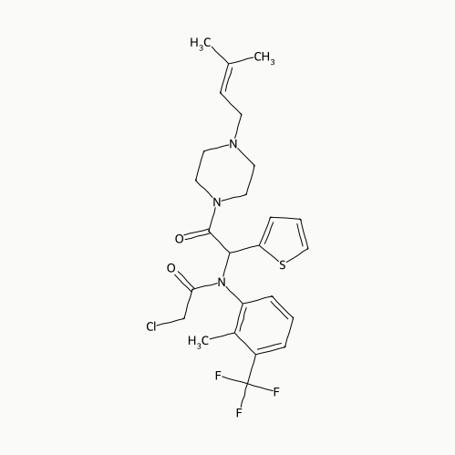 CC(C)=CCN1CCN(C(=O)C(c2cccs2)N(C(=O)CCl)c2cccc(C(F)(F)F)c2C)CC1